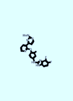 CNc1nccc(-c2cccnc2Oc2ccc(Nc3nc4c(F)c(F)ccc4[nH]3)cc2C)n1